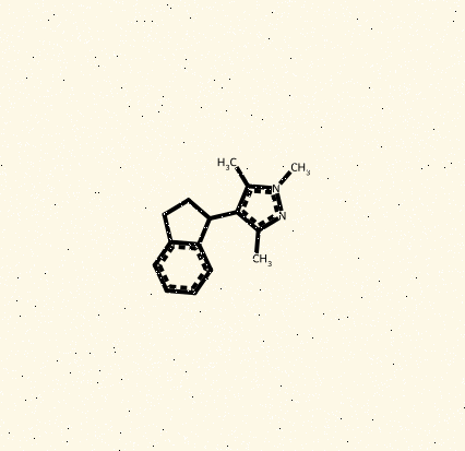 Cc1nn(C)c(C)c1C1CCc2ccccc21